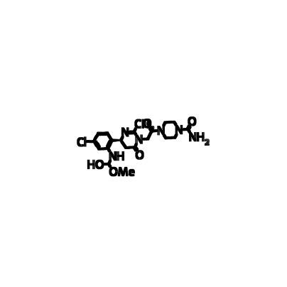 COC(O)Nc1cc(Cl)ccc1[C@@H]1CC(=O)N(CC(=O)N2CCN(C(N)=O)CC2)C(C)=N1